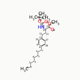 CCCCCCCCc1ccc(CCC(NC(=O)OC(C)(C)C)C(=O)OC)cc1